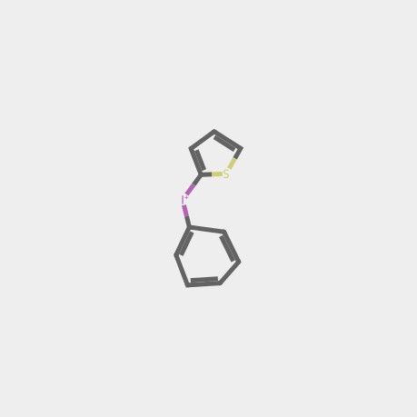 c1ccc([I+]c2cccs2)cc1